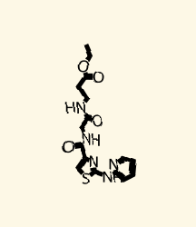 CCOC(=O)CCNC(=O)CNC(=O)c1csc(Nc2ccccn2)n1